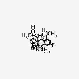 CC(C)c1cc(F)cc(C(C)C)c1CC(=O)N=[S@](N)(=O)c1ncc(C(C)(C)O)s1